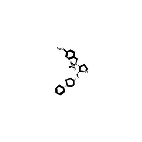 COc1ccc(CN([C@@H]2CCN[C@@H]2CO[C@H]2CC[C@@H](c3ccccc3)CC2)S(C)(=O)=O)cc1